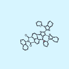 O=C1c2ccc3c(=O)n4c(-c5nc6ccccc6n5-c5ccccc5)c(-c5nc6ccccc6n5-c5ccccc5)nc4c4ccc(c2c34)C(=O)N1c1cccc2ccccc12